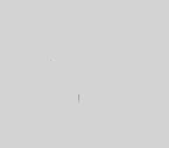 C/C=C(\c1ccccc1)c1ccc2nc(N)n(S(=O)(=O)c3ccccc3)c2c1